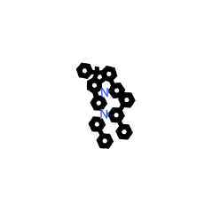 CC1(c2ccccc2)c2cccc3c2-c2c1ccc1c4ccc(N(c5cccc(-c6ccccc6)c5)c5cc(-c6ccccc6)cc(-c6ccccc6)c5)cc4n(c21)-c1ccccc1-3